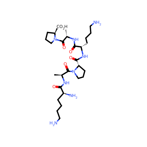 C[C@H](NC(=O)[C@H](CCCCN)NC(=O)[C@@H]1CCCN1C(=O)[C@H](C)NC(=O)[C@@H](N)CCCCN)C(=O)N1CCC[C@H]1C(=O)O